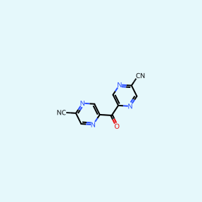 N#Cc1cnc(C(=O)c2cnc(C#N)cn2)cn1